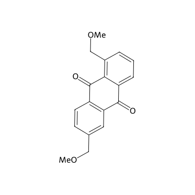 COCc1ccc2c(c1)C(=O)c1cccc(COC)c1C2=O